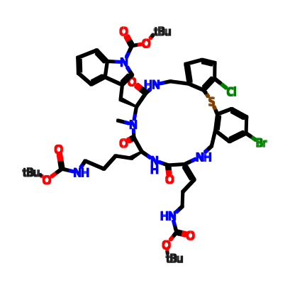 CN1C(=O)[C@H](CCCCNC(=O)OC(C)(C)C)NC(=O)/C(=C\CCNC(=O)OC(C)(C)C)NCc2cc(Br)ccc2Sc2c(Cl)cccc2CNC(=O)[C@@H]1Cc1cn(C(=O)OC(C)(C)C)c2ccccc12